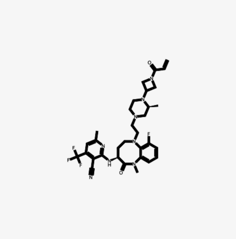 C=CC(=O)N1CC(N2CCN(CCN3CC[C@H](Nc4nc(C)cc(C(F)(F)F)c4C#N)C(=O)N(C)c4cccc(F)c43)C[C@@H]2C)C1